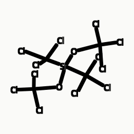 ClC(Cl)(Cl)O[Si](OC(Cl)(Cl)Cl)(C(Cl)(Cl)Cl)C(Cl)(Cl)Cl